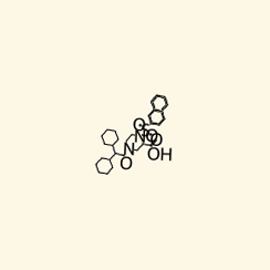 O=C(O)C1CN(C(=O)C(C2CCCCC2)C2CCCCC2)CCN1S(=O)(=O)c1ccc2ccccc2c1